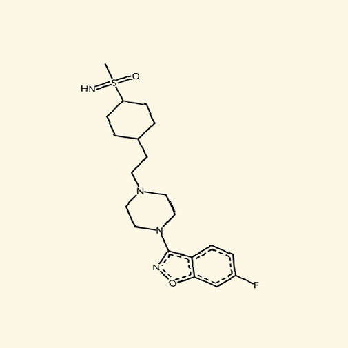 CS(=N)(=O)C1CCC(CCN2CCN(c3noc4cc(F)ccc34)CC2)CC1